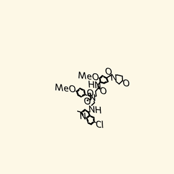 COc1ccc(S(=O)(=O)N(CCNc2cc(C)nc3ccc(Cl)cc23)CCC(=O)Nc2ccc(C(=O)N3CCC(=O)CC3)cc2OC)cc1